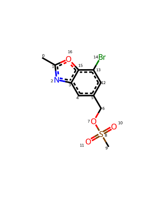 Cc1nc2cc(COS(C)(=O)=O)cc(Br)c2o1